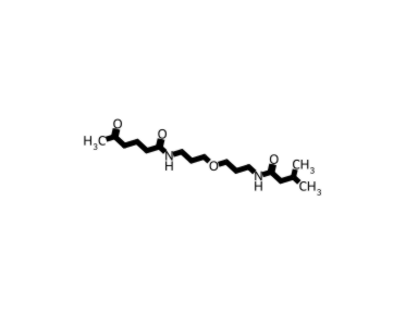 CC(=O)CCCC(=O)NCCCOCCCNC(=O)CC(C)C